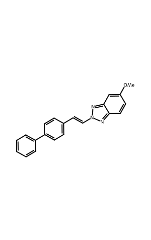 COc1ccc2nn(C=Cc3ccc(-c4ccccc4)cc3)nc2c1